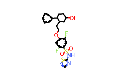 O=S(=O)(Nc1ncns1)c1cc(F)c(OCCC2CC(O)CCC2c2ccccc2)cc1F